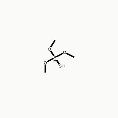 CO[PH](S)(OC)OC